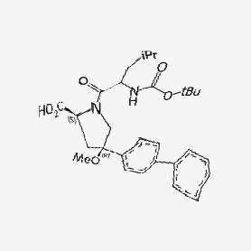 CO[C@@]1(c2ccc(-c3ccccc3)cc2)C[C@@H](C(=O)O)N(C(=O)C(CC(C)C)NC(=O)OC(C)(C)C)C1